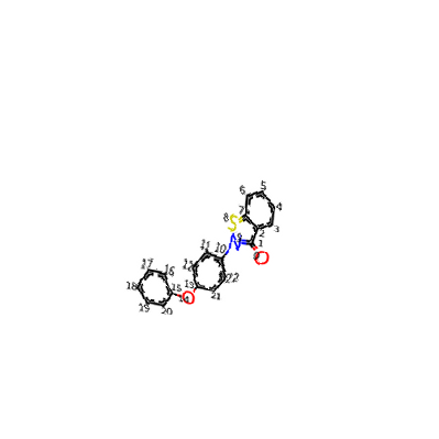 O=c1c2ccccc2sn1-c1ccc(Oc2ccccc2)cc1